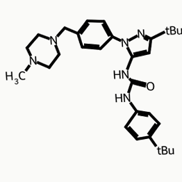 CN1CCN(Cc2ccc(-n3nc(C(C)(C)C)cc3NC(=O)Nc3ccc(C(C)(C)C)cc3)cc2)CC1